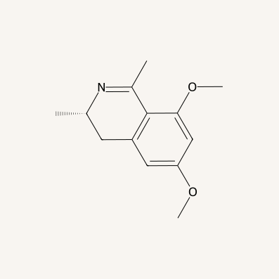 COc1cc2c(c(OC)c1)C(C)=N[C@@H](C)C2